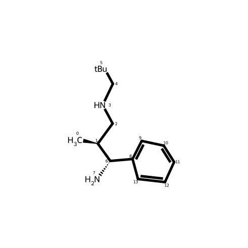 C[C@@H](CNCC(C)(C)C)[C@@H](N)c1ccccc1